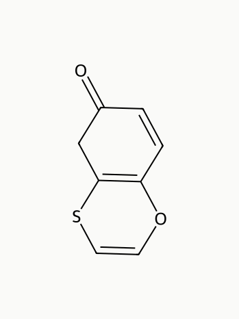 O=C1C=CC2=C(C1)SC=CO2